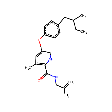 C=C(C)CNC(=O)C1=C(C)C=C(Oc2ccc(CC(C)CC)cc2)CN1